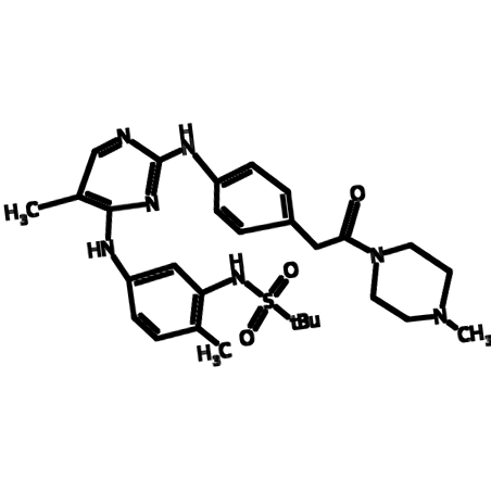 Cc1ccc(Nc2nc(Nc3ccc(CC(=O)N4CCN(C)CC4)cc3)ncc2C)cc1NS(=O)(=O)C(C)(C)C